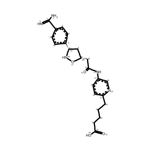 N=C(N)c1ccc([C@@H]2C[C@H](CC(=O)Nc3ccc(CCCCC(=O)O)nc3)ON2)cc1